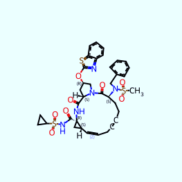 CS(=O)(=O)N(Cc1ccccc1)[C@H]1CCCCC/C=C\[C@@H]2C[C@@]2(C(=O)NS(=O)(=O)C2CC2)NC(=O)[C@@H]2C[C@@H](Oc3nc4ccccc4s3)CN2C1=O